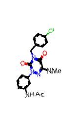 CNc1nn(-c2cccc(NC(C)=O)c2)c(=O)n(Cc2ccc(Cl)cc2)c1=O